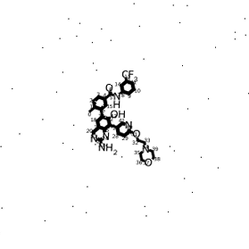 Cc1ccc(C(=O)Nc2cccc(C(F)(F)F)c2)cc1-c1cc2cnc(N)nc2c(-c2ccc(OCCN3CCOCC3)nc2)c1O